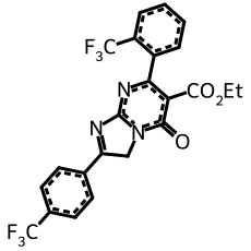 CCOC(=O)c1c(-c2ccccc2C(F)(F)F)nc2n(c1=O)CC(c1ccc(C(F)(F)F)cc1)=N2